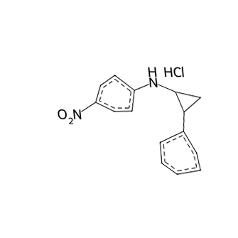 Cl.O=[N+]([O-])c1ccc(NC2CC2c2ccccc2)cc1